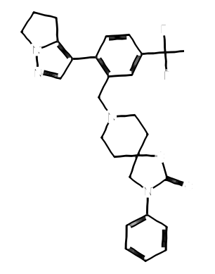 O=C1OC2(CCN(Cc3cc(C(F)(F)F)ccc3-c3cnn4c3CCC4)CC2)CN1c1ccccc1